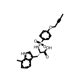 CC#CCOc1ccc(S(=O)(=O)N[C@@H](Cc2c[nH]c3c(C)cccc23)C(=O)O)cc1